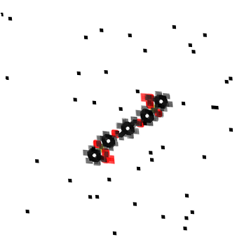 O=S(=O)(c1ccc(OCc2ccc(COc3ccc(S(=O)(=O)c4ccccc4O)cc3)cc2)cc1)c1ccccc1O